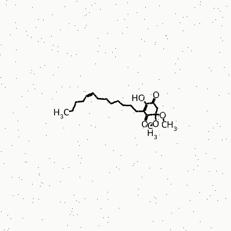 CCCC/C=C\CCCCCCCC1=C(O)C(=O)CC(OC)(OC)C1=O